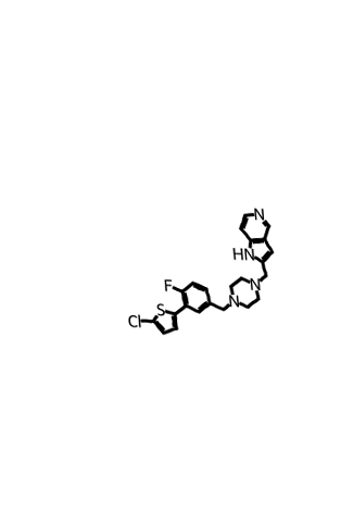 Fc1ccc(CN2CCN(Cc3cc4cnccc4[nH]3)CC2)cc1-c1ccc(Cl)s1